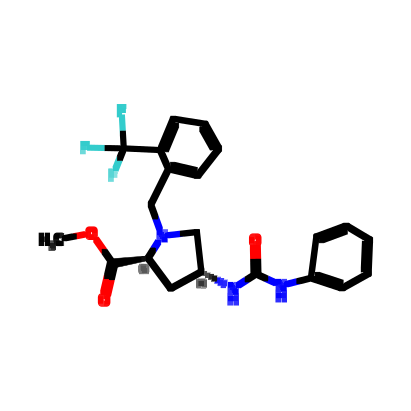 COC(=O)[C@@H]1C[C@@H](NC(=O)Nc2ccccc2)CN1Cc1ccccc1C(F)(F)F